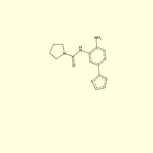 Nc1ccc(-c2cccs2)cc1NC(=O)N1CCCC1